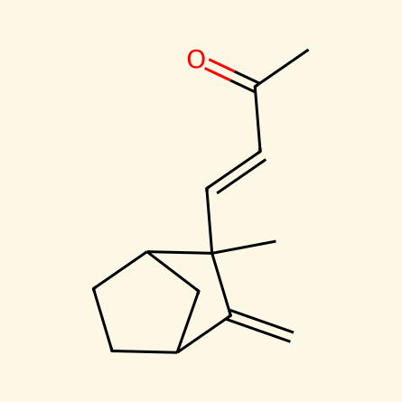 C=C1C2CCC(C2)C1(C)C=CC(C)=O